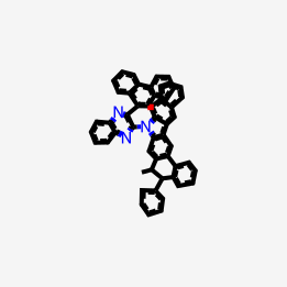 CC1c2cc3c(cc2-c2ccccc2C1c1ccccc1)c1cc2ccccc2cc1n3-c1nc2ccccc2nc1-c1cc2ccccc2c2ccccc12